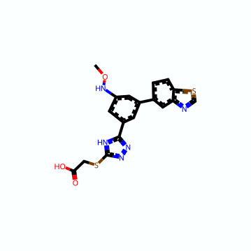 CONc1cc(-c2ccc3scnc3c2)cc(-c2nnc(SCC(=O)O)[nH]2)c1